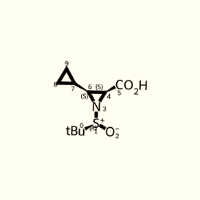 CC(C)(C)[S@+]([O-])N1[C@H](C(=O)O)[C@@H]1C1CC1